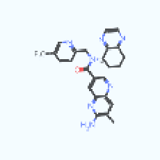 Cc1cc2ncc(C(=O)N(Cc3ccc(C(F)(F)F)cn3)[C@H]3CCCc4nccnc43)cc2nc1N